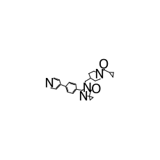 O=C(C1CC1)N1CCC(CN2C(=O)C3(CC3)N=C2c2ccc(-c3ccncc3)cc2)CC1